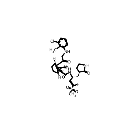 Cc1c(Cl)cccc1NCC(=O)N1[C@H]2CC[C@@H]([C@H]1C(=O)N[C@@H](/C=C(\F)S(C)(=O)=O)C[C@H]1CCNC1=O)C(F)(F)C2